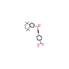 COC(=O)c1ccc(C#C[S+]([O-])c2ccc3c(c2)C(C)(C)CCC3(C)C)cc1